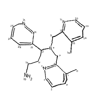 Cc1cccnc1CN(Cc1ncccc1C)C(CCN)c1cccnc1